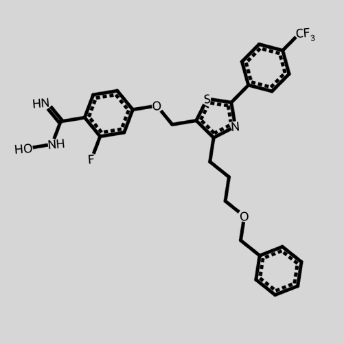 N=C(NO)c1ccc(OCc2sc(-c3ccc(C(F)(F)F)cc3)nc2CCCOCc2ccccc2)cc1F